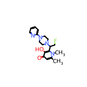 Cc1cc(=O)c(O)c(C(CF)N2CCN(c3ccccn3)CC2)n1C